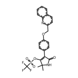 CC1(C)NC(=O)C(c2ccc(OCc3ccc4ccccc4n3)cc2)=C1OS(=O)(=O)C(F)(F)F